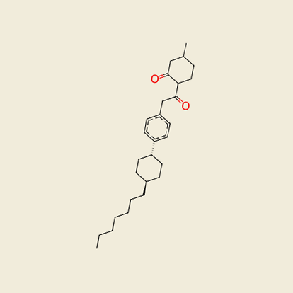 CCCCCCC[C@H]1CC[C@H](c2ccc(CC(=O)C3CCC(C)CC3=O)cc2)CC1